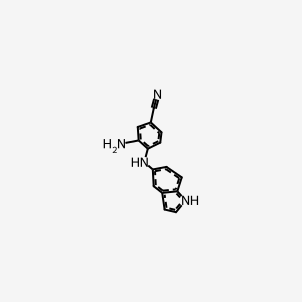 N#Cc1ccc(Nc2ccc3[nH]ccc3c2)c(N)c1